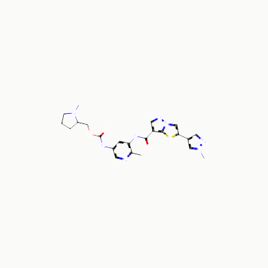 Cc1ncc(NC(=O)OCC2CCCN2C)cc1NC(=O)c1cnn2cc(-c3cnn(C)c3)sc12